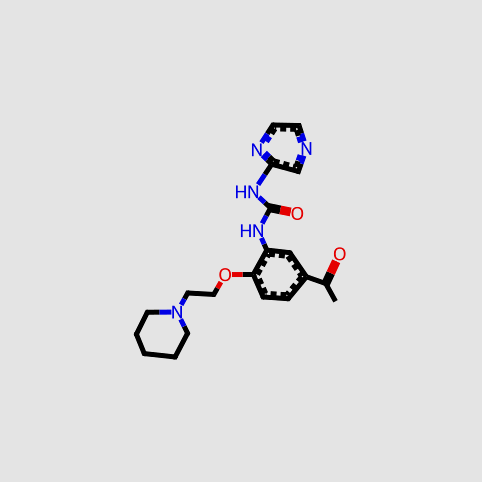 CC(=O)c1ccc(OCCN2CCCCC2)c(NC(=O)Nc2cnccn2)c1